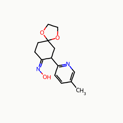 Cc1ccc(C2CC3(CC/C2=N/O)OCCO3)nc1